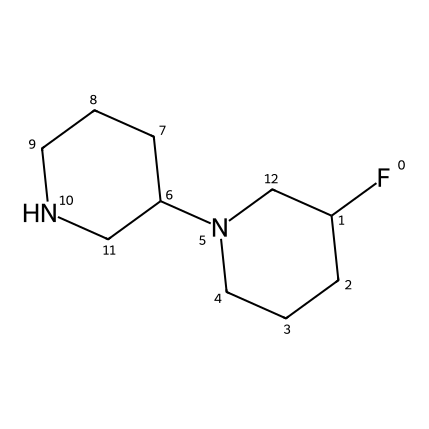 FC1CCCN(C2CCCNC2)C1